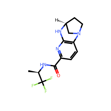 C[C@@H](NC(=O)c1ccc2c(n1)N[C@H]1CCN2C1)C(F)(F)F